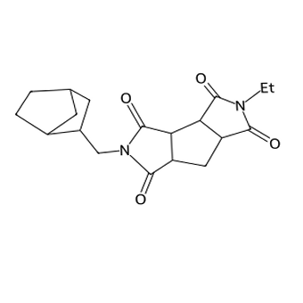 CCN1C(=O)C2CC3C(=O)N(CC4CC5CCC4C5)C(=O)C3C2C1=O